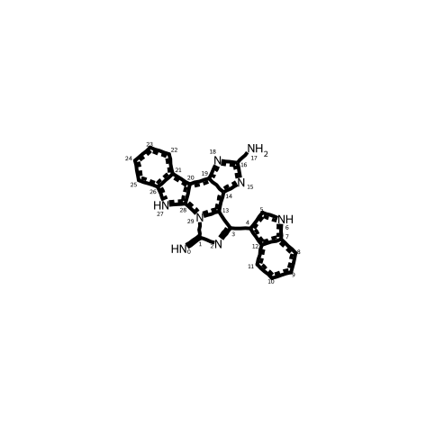 N=C1N=C(c2c[nH]c3ccccc23)c2c3nc(N)nc-3c3c4ccccc4[nH]c3n21